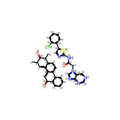 CC1C=c2c(ccc3c2=CC(=O)c2ccccc2-3)C(C)C1=O.O=C(Cn1cnc2ncncc21)Nc1ncc(-c2ccccc2Cl)s1